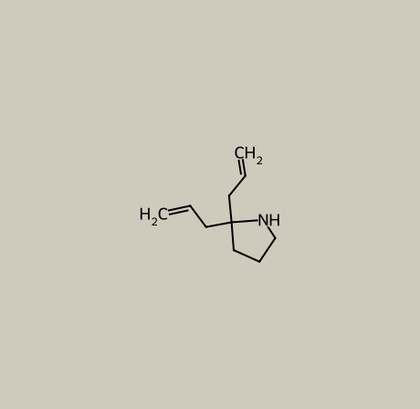 C=CCC1(CC=C)CCCN1